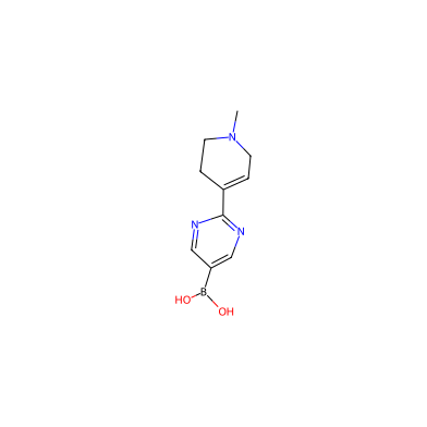 CN1CC=C(c2ncc(B(O)O)cn2)CC1